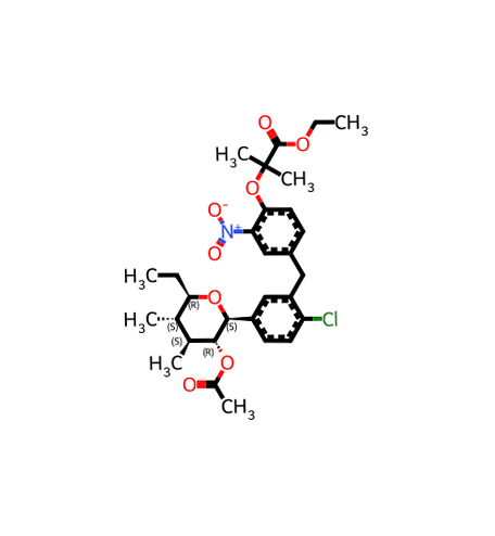 CCOC(=O)C(C)(C)Oc1ccc(Cc2cc([C@@H]3O[C@H](CC)[C@@H](C)[C@H](C)[C@H]3OC(C)=O)ccc2Cl)cc1[N+](=O)[O-]